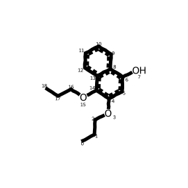 CCCOc1cc(O)c2ccccc2c1OCCC